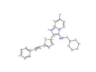 Cc1ccn2c(NCC3CCCCC3)c(-c3ccc(C#Cc4ccccc4)s3)nc2c1